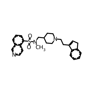 CN(CC1CCN(CCC2=CCc3ccccc32)CC1)S(=O)(=O)c1cccc2cnccc12